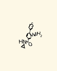 Nc1cc(C(=O)NC2CC2)ccc1-c1ccsc1